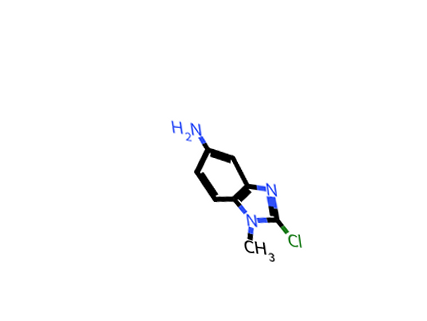 Cn1c(Cl)nc2cc(N)ccc21